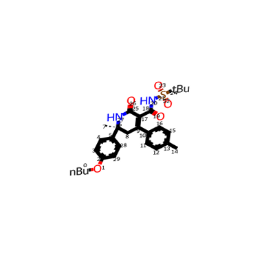 CCCCOc1ccc([C@]2(C)CC(c3ccc(C)cc3)=C(C(=O)NS(=O)(=O)C(C)(C)C)C(=O)N2)cc1